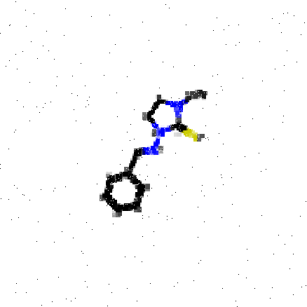 CCCN1CCN(/N=C/c2ccccc2)C1=S